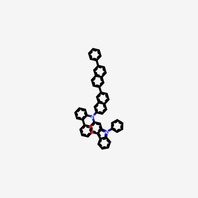 c1ccc(-c2ccc3cc(-c4ccc5ccc(N(c6ccc7c8ccccc8n(-c8ccccc8)c7c6)c6ccccc6-c6ccccc6)cc5c4)ccc3c2)cc1